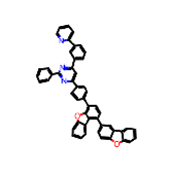 c1ccc(-c2nc(-c3ccc(-c4ccc(-c5ccc6oc7ccccc7c6c5)c5c4oc4ccccc45)cc3)cc(-c3cccc(-c4ccccn4)c3)n2)cc1